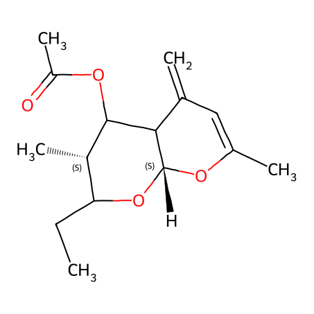 C=C1C=C(C)O[C@@H]2OC(CC)[C@H](C)C(OC(C)=O)C12